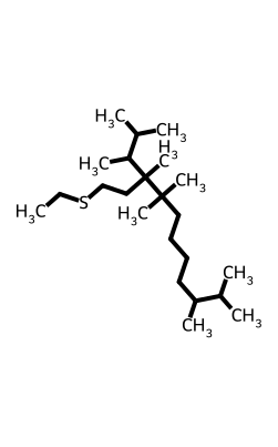 CCSCCC(C)(C(C)C(C)C)C(C)(C)CCCCC(C)C(C)C